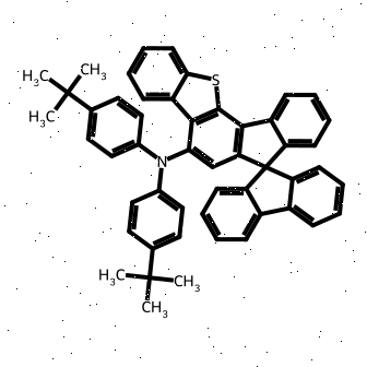 CC(C)(C)c1ccc(N(c2ccc(C(C)(C)C)cc2)c2cc3c(c4sc5ccccc5c24)-c2ccccc2C32c3ccccc3-c3ccccc32)cc1